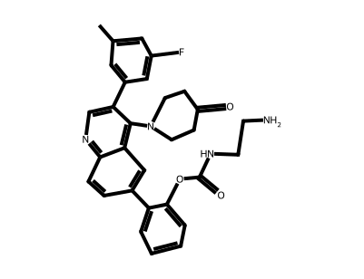 Cc1cc(F)cc(-c2cnc3ccc(-c4ccccc4OC(=O)NCCN)cc3c2N2CCC(=O)CC2)c1